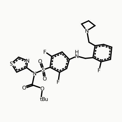 CC(C)(C)OC(=O)N(c1cscn1)S(=O)(=O)c1c(F)cc(NCc2c(F)cccc2CN2CCC2)cc1F